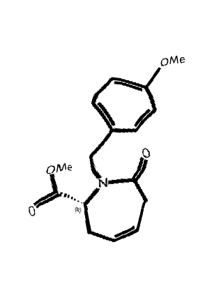 COC(=O)[C@H]1CC=CCC(=O)N1Cc1ccc(OC)cc1